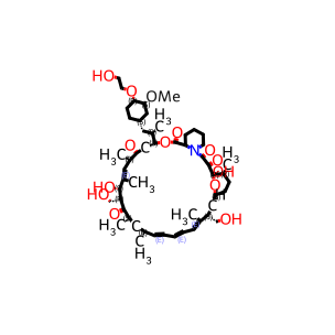 CO[C@H]1C[C@H](C[C@@H](C)[C@@H]2CC(=O)[C@H](C)/C=C(\C)[C@@H](O)[C@@H](CO)C(=O)[C@@H](C)C[C@@H](C)/C=C/C=C/C=C(\C)[C@@H](CO)C[C@@H]3CC[C@@H](C)[C@@](O)(O3)C(=O)C(=O)N3CCCCC3C(=O)O2)CC[C@H]1OCCO